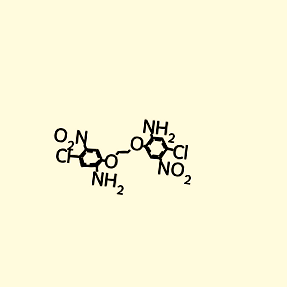 Nc1cc(Cl)c([N+](=O)[O-])cc1OCCOc1cc([N+](=O)[O-])c(Cl)cc1N